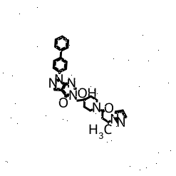 C[C@H](CC(=O)N1CCC(O)(Cn2cnc3c(cnn3-c3ccc(-c4ccccc4)cc3)c2=O)CC1)n1cccn1